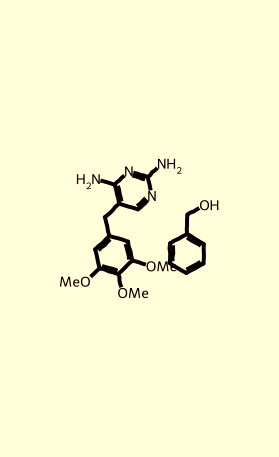 COc1cc(Cc2cnc(N)nc2N)cc(OC)c1OC.OCc1ccccc1